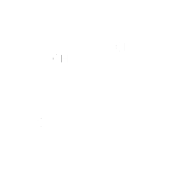 C=C[CH]C(=CC)CCCCC